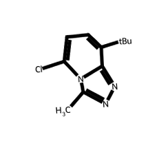 Cc1nnc2c(C(C)(C)C)ccc(Cl)n12